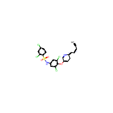 C#C/C=C\C=C1/CC=C(Oc2c(Cl)cc(NS(=O)(=O)c3ccc(Cl)cc3Cl)cc2Cl)C=N1